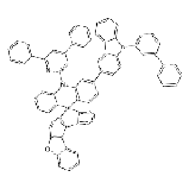 c1ccc(-c2cccc(-n3c4ccccc4c4cc(-c5ccc6c(c5)N(c5cc(-c7ccccc7)cc(-c7ccccc7)n5)c5ccccc5C65c6ccccc6-c6c5ccc5oc7ccccc7c65)ccc43)c2)cc1